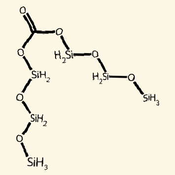 O=C(O[SiH2]O[SiH2]O[SiH3])O[SiH2]O[SiH2]O[SiH3]